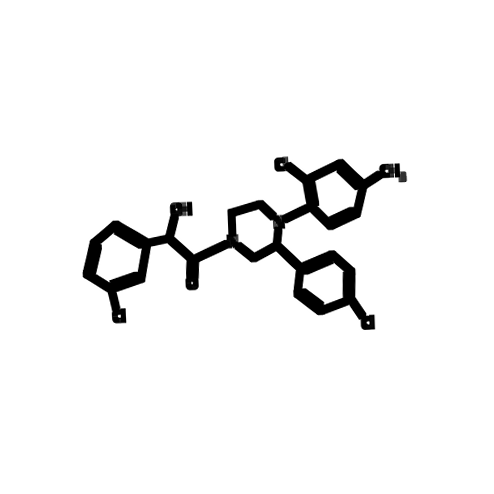 Cc1ccc(N2CCN(C(=O)C(O)c3cccc(Cl)c3)CC2c2ccc(Cl)cc2)c(Cl)c1